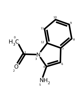 CC(=O)n1c(N)cc2ccccc21